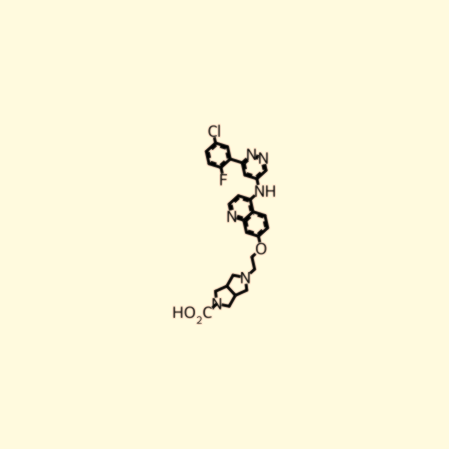 O=C(O)N1CC2CN(CCOc3ccc4c(Nc5cnnc(-c6cc(Cl)ccc6F)c5)ccnc4c3)CC2C1